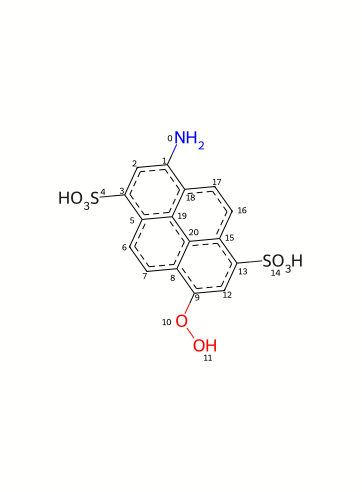 Nc1cc(S(=O)(=O)O)c2ccc3c(OO)cc(S(=O)(=O)O)c4ccc1c2c34